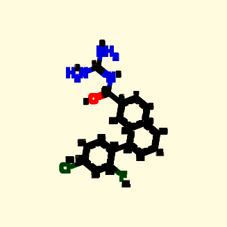 NC(N)=NC(=O)c1ccc2cccc(-c3ccc(Cl)cc3F)c2c1